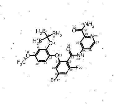 BC(B)(B)Oc1cc(OC(F)(F)F)ccc1Oc1cc(Br)cc(F)c1C(=O)Nc1ccnc(C(N)=O)c1